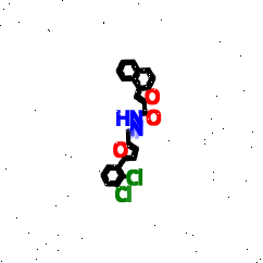 O=C(N/N=C/c1ccc(-c2cccc(Cl)c2Cl)o1)c1cc2c(ccc3ccccc32)o1